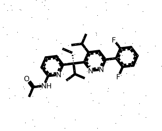 CC[C@](c1cccc(NC(C)=O)n1)(c1nnc(-c2c(F)cccc2F)cc1C(C)C)C(C)C